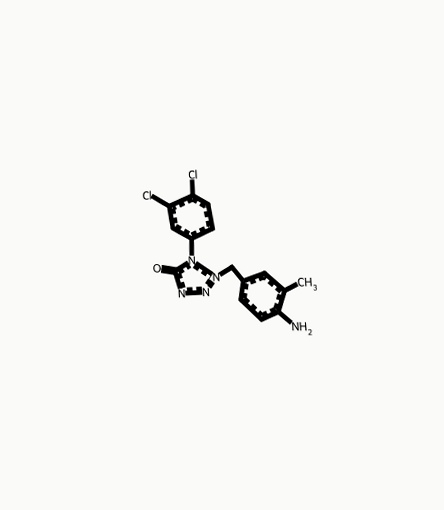 Cc1cc(Cn2nnc(=O)n2-c2ccc(Cl)c(Cl)c2)ccc1N